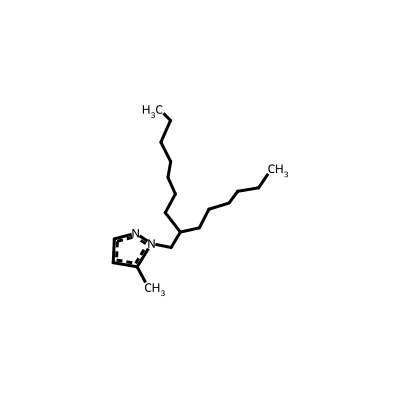 CCCCCCCC(CCCCCC)Cn1nccc1C